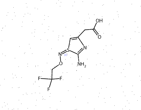 NC1=NC(CC(=O)O)=C/S1=N/OCC(F)(F)F